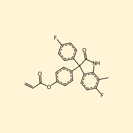 C=CC(=O)Oc1ccc(C2(c3ccc(F)cc3)C(=O)Nc3c2ccc(F)c3C)cc1